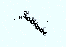 CCCC(O)C1CCC(c2ccc(C(=O)OC3CCC(c4ccc(C5CO5)c(F)c4)CC3)c(F)c2F)CC1